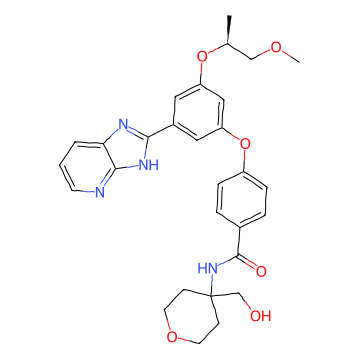 COC[C@H](C)Oc1cc(Oc2ccc(C(=O)NC3(CO)CCOCC3)cc2)cc(-c2nc3cccnc3[nH]2)c1